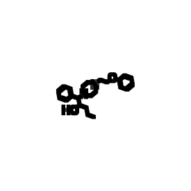 CCCC(O)C(c1ccccc1)N1CCN(CCOc2ccccc2)CC1